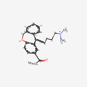 COC(=O)c1ccc2c(c1)/C(=C/CCCN(C)C)c1ccccc1CO2